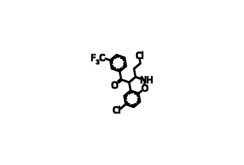 O=C(c1cccc(C(F)(F)F)c1)C1c2cc(Cl)ccc2ONC1CCCl